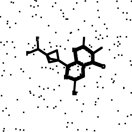 Cc1nc2c(C34CC(C(F)F)(C3)C4)nc(Br)cn2c(=O)c1C